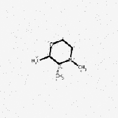 CC1OCCN(C)[C@@H]1C